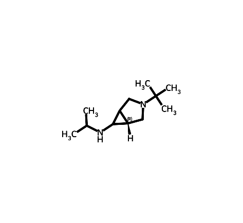 CC(C)NC1C2CN(C(C)(C)C)C[C@@H]21